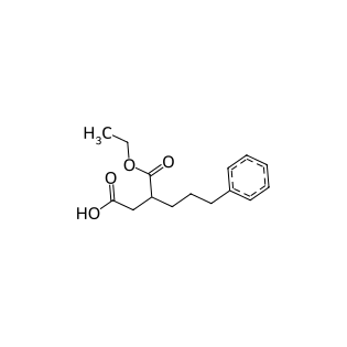 CCOC(=O)C(CCCc1ccccc1)CC(=O)O